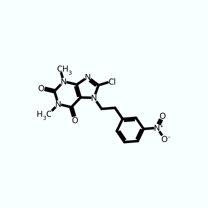 Cn1c(=O)c2c(nc(Cl)n2CCc2cccc([N+](=O)[O-])c2)n(C)c1=O